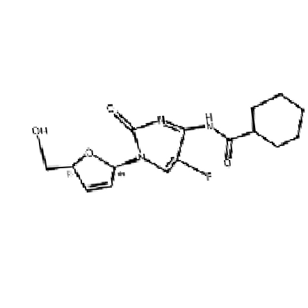 O=C(Nc1nc(=O)n([C@H]2C=C[C@@H](CO)O2)cc1F)C1CCCCC1